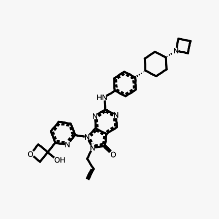 C=CCn1c(=O)c2cnc(Nc3ccc([C@H]4CC[C@@H](N5CCC5)CC4)cc3)nc2n1-c1cccc(C2(O)COC2)n1